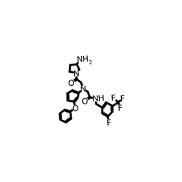 NC1CCN(C(=O)CN(CC(=O)NCc2cc(F)cc(C(F)(F)F)c2)c2cccc(Oc3ccccc3)c2)C1